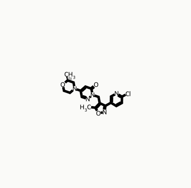 Cc1onc(-c2ccc(Cl)nc2)c1Cn1ncc(N2CCO[C@@H](C)C2)cc1=O